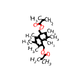 C=C(C)C(=O)OCc1c(C)c(C)c(C)c2c(COC(=O)C(=C)C)c(C)c(C)c(C)c12